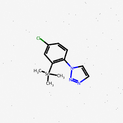 [CH3][Sn]([CH3])([CH3])[c]1cc(Cl)ccc1-n1ccnn1